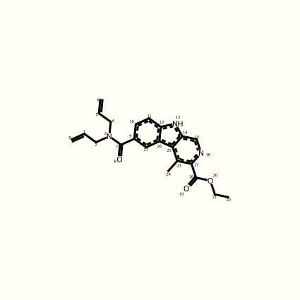 C=CCN(CC=C)C(=O)c1ccc2[nH]c3cnc(C(=O)OCC)c(C)c3c2c1